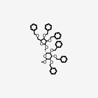 CO[C@H]1O[C@H](COC2OC(COCc3ccccc3)C(OCc3ccccc3)C2OCc2ccccc2)[C@@H](OCc2ccccc2)[C@H](OCc2ccccc2)[C@H]1OCc1ccccc1